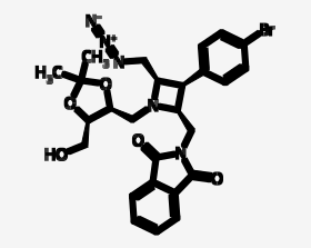 CC1(C)O[C@@H](CN2[C@H](CN3C(=O)c4ccccc4C3=O)[C@H](c3ccc(Br)cc3)[C@@H]2CN=[N+]=[N-])[C@@H](CO)O1